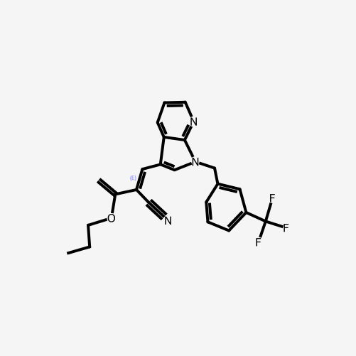 C=C(OCCC)/C(C#N)=C/c1cn(Cc2cccc(C(F)(F)F)c2)c2ncccc12